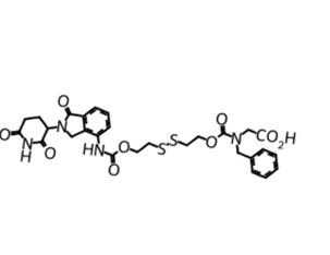 O=C(O)CN(Cc1ccccc1)C(=O)OCCSSCCOC(=O)Nc1cccc2c1CN(C1CCC(=O)NC1=O)C2=O